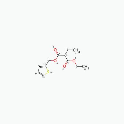 CCOC(=O)C(CC)C(=O)OCc1cccs1